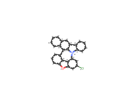 Clc1cc2oc3cccc4c3c2c(c1)n1c2ccccc2c2cc3ccccc3c4c21